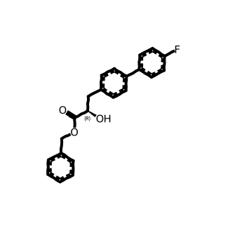 O=C(OCc1ccccc1)[C@H](O)Cc1ccc(-c2ccc(F)cc2)cc1